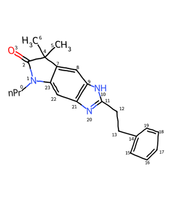 CCCN1C(=O)C(C)(C)c2cc3[nH]c(CCc4ccccc4)nc3cc21